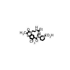 CCC(=O)NCCN1C(=O)C(C)Sc2cc(C(F)(F)F)c(C(=O)N(C(C)C)[C@@H]3CCCN(C(=O)O)C3)cc21